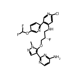 Cn1ncc(-c2nccc(N)n2)c1OC[C@@H](F)CNc1cc(Cl)ncc1-c1ccc(OC(F)F)cn1